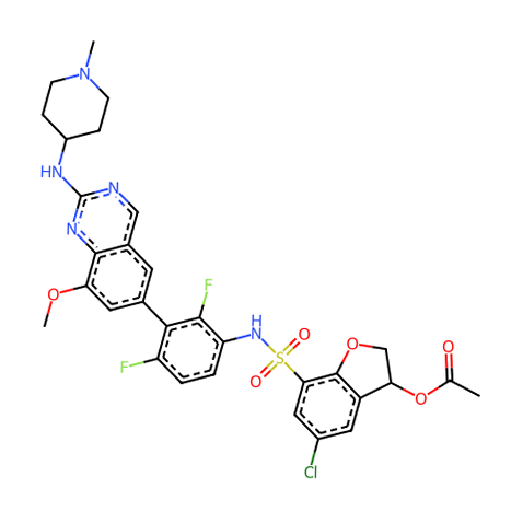 COc1cc(-c2c(F)ccc(NS(=O)(=O)c3cc(Cl)cc4c3OCC4OC(C)=O)c2F)cc2cnc(NC3CCN(C)CC3)nc12